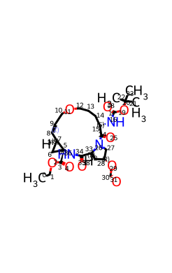 CCOC(=O)[C@@]12C[C@H]1/C=C\COCCC[C@H](NC(=O)OC(C)(C)C)C(=O)N1C[C@H](OC=O)C[C@H]1C(=O)N2